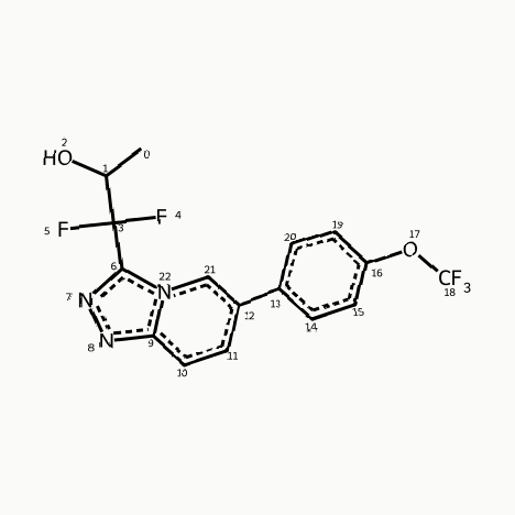 CC(O)C(F)(F)c1nnc2ccc(-c3ccc(OC(F)(F)F)cc3)cn12